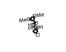 COc1cc(OC)cc(C(=O)NC(=S)Nc2ccc(Cl)cc2O)c1